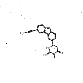 CN1C(=N)NC(c2ccc3sc4ccc(C#CC(F)(F)F)cc4c3c2)CC1=O